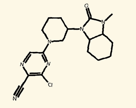 CN1C(=O)N(C2CCCN(c3cnc(C#N)c(Cl)n3)C2)C2CCCCC21